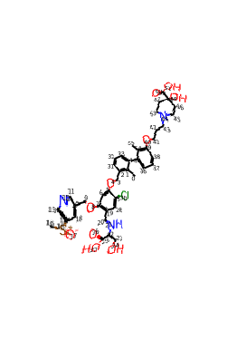 Cc1c(COc2cc(OCc3cncc([S+](C)[O-])c3)c(CNC(CO)C(=O)O)cc2Cl)cccc1-c1cccc(OCCCN2CCC(O)(C(=O)O)CC2)c1C